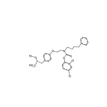 CCOC(Cc1ccc(OCCN(CCCCc2ccccc2)C(=O)Oc2ccc(Cl)cc2Cl)cc1)C(=O)O